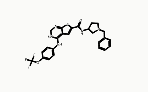 O=C(NC1CCN(Cc2ccccc2)C1)c1cc2c(s1)=NCNC=2Nc1ccc(OC(F)(F)F)cc1